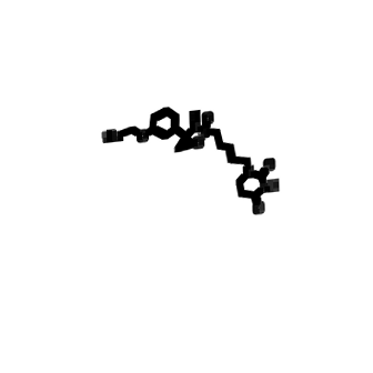 CC(C)(C)COc1cccc(C2(NS(=O)(=O)CC/C=C/CN3CCC(=O)NC3=O)CC2)c1